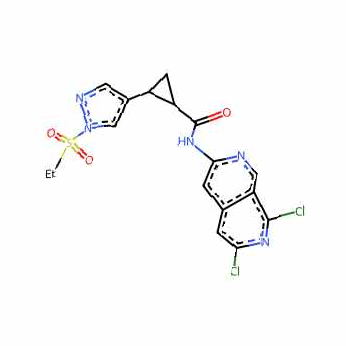 CCS(=O)(=O)n1cc(C2CC2C(=O)Nc2cc3cc(Cl)nc(Cl)c3cn2)cn1